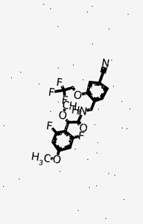 COc1cc(F)c(C(OC)C(=O)NCc2ccc(C#N)cc2OCC(F)(F)F)c(F)c1